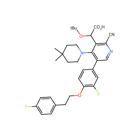 CC1(C)CCN(c2c(-c3ccc(OCCc4ccc(F)cc4)c(F)c3)cnc(C#N)c2C(OC(C)(C)C)C(=O)O)CC1